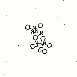 N#Cc1cc(-n2c3ccccc3c3c4oc5ccccc5c4c4c(c5ccccc5n4-c4ccccc4)c32)ccc1-c1nc(-c2ccccc2)nc(-c2ccccc2)n1